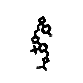 O=C(O)C1CN(Cc2ccc(-c3noc(COCC4(c5ccc(Cl)cc5)CCC4)n3)c(C(F)(F)F)c2)C1